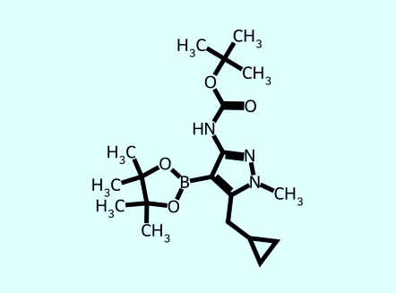 Cn1nc(NC(=O)OC(C)(C)C)c(B2OC(C)(C)C(C)(C)O2)c1CC1CC1